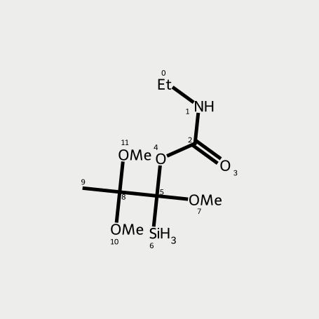 CCNC(=O)OC([SiH3])(OC)C(C)(OC)OC